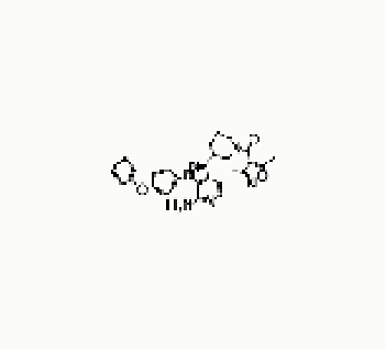 Cc1noc(C)c1C(=O)N1CCC[C@@H](c2nn(-c3ccc(Oc4ccccc4)cc3)c3c(N)nccc23)C1